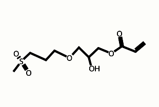 C=CC(=O)OCC(O)COCCCS(C)(=O)=O